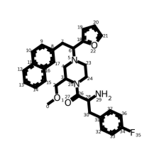 COCC1CN(C(Cc2ccc3ccccc3c2)c2ccco2)CCN1C(=O)C(N)Cc1ccc(F)cc1